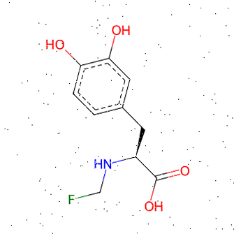 O=C(O)[C@H](Cc1ccc(O)c(O)c1)NCF